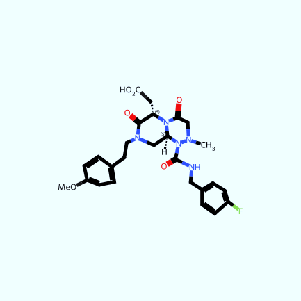 COc1ccc(CCN2C[C@H]3N(C(=O)CN(C)N3C(=O)NCc3ccc(F)cc3)[C@@H](CC(=O)O)C2=O)cc1